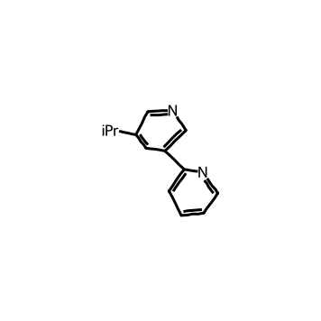 CC(C)c1cncc(-c2ccccn2)c1